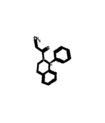 C=CC(=O)N1CCc2ccccc2[C@@H]1c1ccccc1